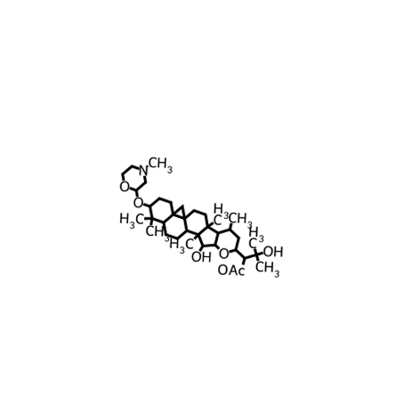 CC(=O)OC(C1CC(C)C2C(O1)C(O)C1(C)C3CCC4C(C)(C)C(OC5CN(C)CCO5)CCC45CC35CCC21C)C(C)(C)O